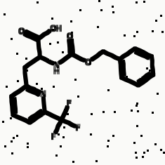 O=C(NC(Cc1cccc(C(F)(F)F)n1)C(=O)O)OCc1ccccc1